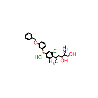 CC(CC(O)C(N)CO)c1ccc(Sc2cccc(OCc3ccccc3)c2)cc1Cl.Cl